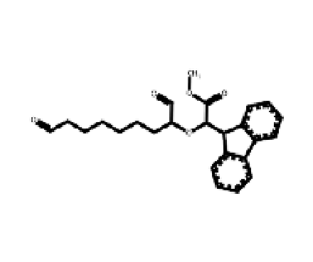 COC(=O)C(OC([C]=O)CCCCCC[C]=O)C1c2ccccc2-c2ccccc21